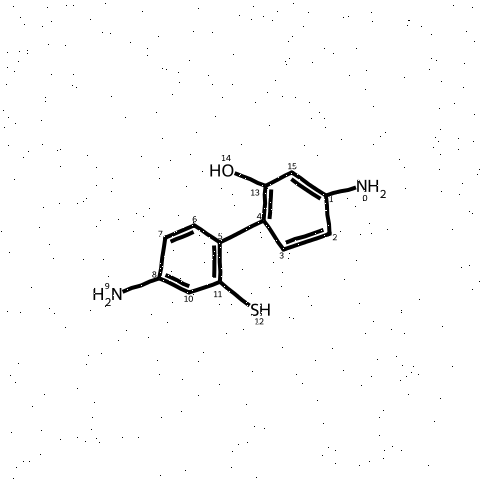 Nc1ccc(-c2ccc(N)cc2S)c(O)c1